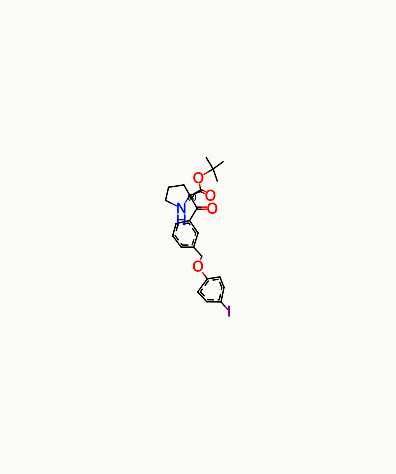 CC(C)(C)OC(=O)[C@]1(C(=O)c2cccc(COc3ccc(I)cc3)c2)CCCN1